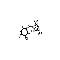 CCc1cc(=O)n(Cc2ccc(C)c(Cl)c2)[nH]1